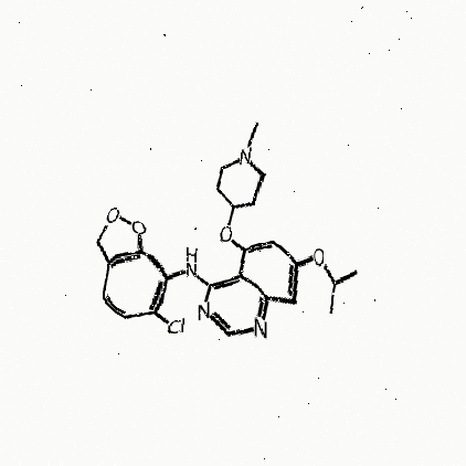 CC(C)Oc1cc(OC2CCN(C)CC2)c2c(Nc3c(Cl)ccc4c3OOC4)ncnc2c1